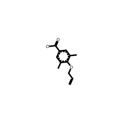 C=CCOc1c(C)cc(C(=O)Cl)cc1C